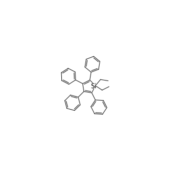 CC[Si]1(CC)C(c2ccccc2)=C(c2ccccc2)C(c2ccccc2)=C1c1ccccc1